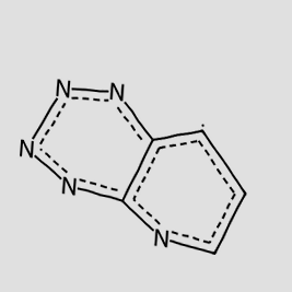 [c]1ccnc2nnnnc12